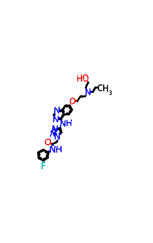 CCCN(CCO)CCCOc1ccc2c(Nc3cn(CC(=O)Nc4cccc(F)c4)nn3)ncnc2c1